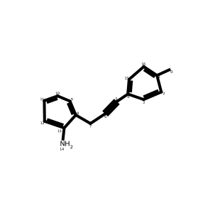 Cc1ccc(C#CCc2ccccc2N)cc1